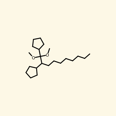 CCCCCCCCC(C1CCCC1)C(OC)(OC)C1CCCC1